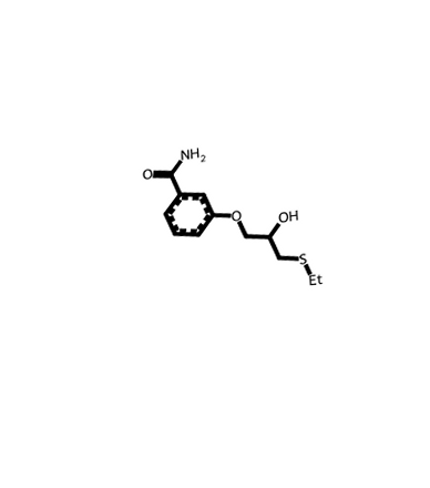 CCSCC(O)COc1cccc(C(N)=O)c1